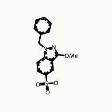 COc1nn(Cc2ccccc2)c2ccc(S(=O)(=O)Cl)cc12